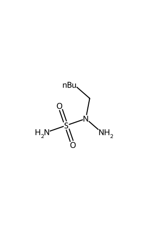 CCCCCN(N)S(N)(=O)=O